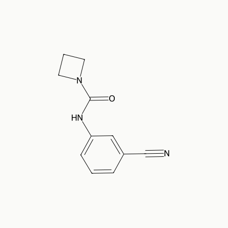 N#Cc1cccc(NC(=O)N2CCC2)c1